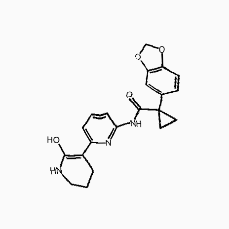 O=C(Nc1cccc(C2=C(O)NCCC2)n1)C1(c2ccc3c(c2)OCO3)CC1